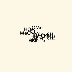 COc1cc(-c2nc(-c3ccc(N(C)C)cc3)c(C)[nH]2)cc(OC)c1O.Cl.Cl